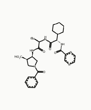 CC(C)(C)C(NC(=O)[C@@H](NC(=O)c1cnccn1)C1CCCCC1)C(=O)N[C@H]1CN(C(=O)c2ccccc2)C[C@H]1C(=O)O